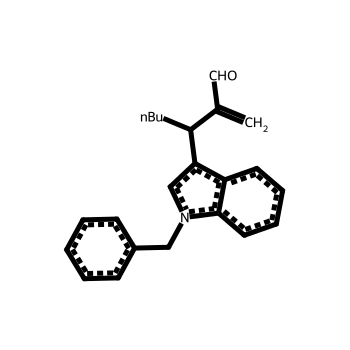 C=C(C=O)C(CCCC)c1cn(Cc2ccccc2)c2ccccc12